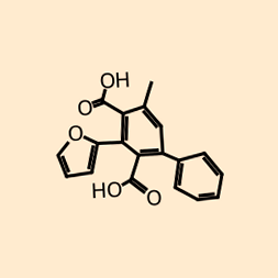 Cc1cc(-c2ccccc2)c(C(=O)O)c(-c2ccco2)c1C(=O)O